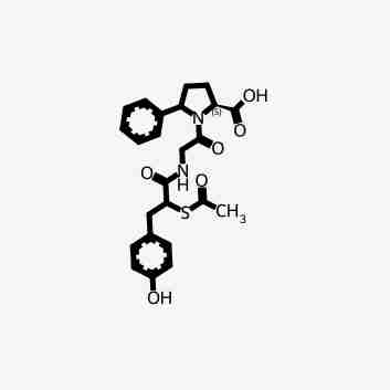 CC(=O)SC(Cc1ccc(O)cc1)C(=O)NCC(=O)N1C(c2ccccc2)CC[C@H]1C(=O)O